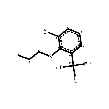 CCCSc1c(Cl)cccc1C(F)(F)F